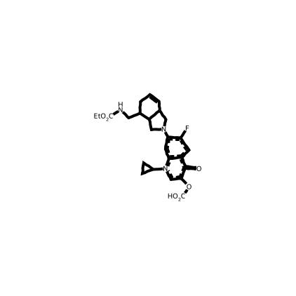 CCOC(=O)NCC1CC=CC2CN(c3cc4c(cc3F)c(=O)c(OC(=O)O)cn4C3CC3)CC21